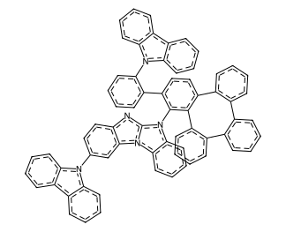 c1ccc2c(c1)-c1ccccc1-c1ccc(-c3ccccc3-n3c4ccccc4c4ccccc43)c(-n3c4ccccc4n4c5cc(-n6c7ccccc7c7ccccc76)ccc5nc34)c1-c1ccccc1-2